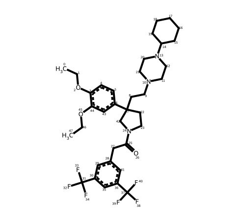 CCOc1ccc(C2(CCN3CCN(C4CCCCC4)CC3)CCN(C(=O)Cc3cc(C(F)(F)F)cc(C(F)(F)F)c3)C2)cc1OCC